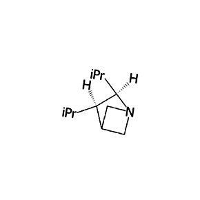 CC(C)[C@@H]1C2CN(C2)[C@@H]1C(C)C